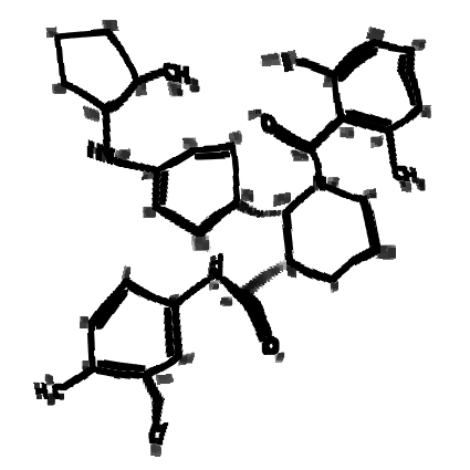 Cc1ccc(NC(=O)[C@H]2CCCN(C(=O)c3c(C)cccc3F)[C@H]2C2C=CC(NC3CCCC3C)=CC2)cc1Cl